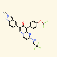 Cn1cc2cc(-c3cn4ccc(NCC(F)(F)F)nc4c(-c4ccc(OC(F)F)cc4)c3=O)ccc2n1